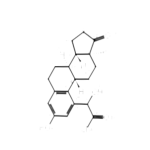 C[C@]12CC[C@@H]3c4c(cc(O)cc4C(O)C(=O)Cl)CC[C@H]3[C@@H]1CCC2=O